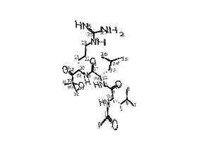 CC(=O)N[C@@H](CC(C)C)C(=O)N[C@@H](CC(C)C)C(=O)N[C@@H](CCCNC(=N)N)C(=O)[C@@]1(C)CO1